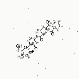 O=C(Nc1ccn([C@@H]2O[C@H](CO)C(O)C(F)C2F)c(=O)n1)c1ccc2c(c1)C(=O)c1ccccc1C2=O